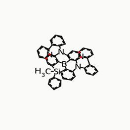 C[Si]1(c2ccccc2)c2cccc3c2B2c4c(cccc4N(c4ccccc4-c4ccccn4)c4cccc1c42)N3c1ccccc1-c1ccccn1